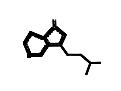 CC(C)CCc1c[nH]c2ccncc12